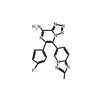 Cc1nc2ccc(-c3c(-c4ccc(F)cc4)nc(N)c4nnnn34)cn2n1